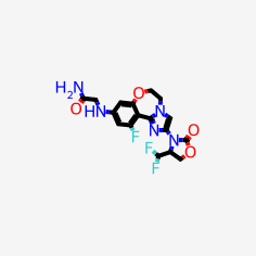 NC(=O)CNc1cc(F)c2c(c1)OCCn1cc(N3C(=O)OCC3C(F)F)nc1-2